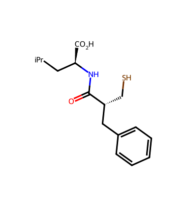 CC(C)C[C@H](NC(=O)[C@H](CS)Cc1ccccc1)C(=O)O